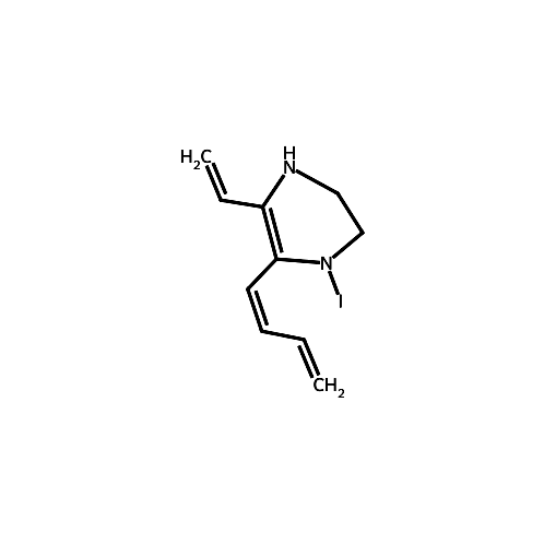 C=C/C=C\C1=C(C=C)NCCN1I